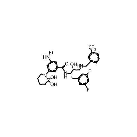 CCNc1cc(C(=O)N[C@@H](Cc2cc(F)cc(F)c2)[C@H](O)CNCc2cccc(C(F)(F)F)c2)cc(N2CCCCS2(O)O)c1